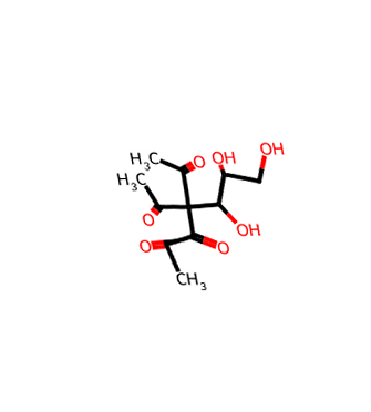 CC(=O)C(=O)C(C(C)=O)(C(C)=O)C(O)C(O)CO